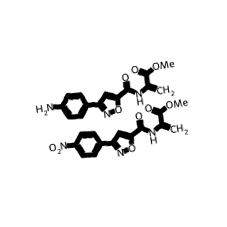 C=C(NC(=O)c1cc(-c2ccc(N)cc2)no1)C(=O)OC.C=C(NC(=O)c1cc(-c2ccc([N+](=O)[O-])cc2)no1)C(=O)OC